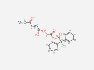 COC(=O)/C=C/C(=O)OCC(=O)OC(=O)C(Cl)(c1ccccc1)c1ccccc1